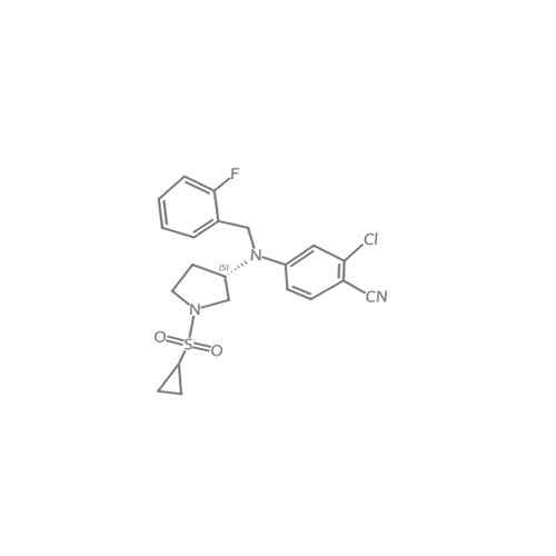 N#Cc1ccc(N(Cc2ccccc2F)[C@H]2CCN(S(=O)(=O)C3CC3)C2)cc1Cl